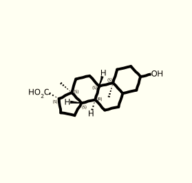 C[C@]12CC[C@H]3[C@@H](CCC4CC(O)CC[C@@]43C)[C@@H]1CC[C@@H]2C(=O)O